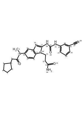 CN(C(=O)CC1CCCC1)c1ccc2c(c1)nc(NC(=O)Nc1cccc(C#N)c1)n2CCC(N)=O